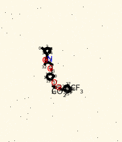 Cc1cccc(C2=NC(COC[C@H]3CCC[C@@H](OC[C@@H](OCc4ccc(C(F)(F)F)cc4)C(=O)O)C3)C(C)O2)c1